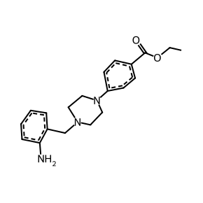 CCOC(=O)c1ccc(N2CCN(Cc3ccccc3N)CC2)cc1